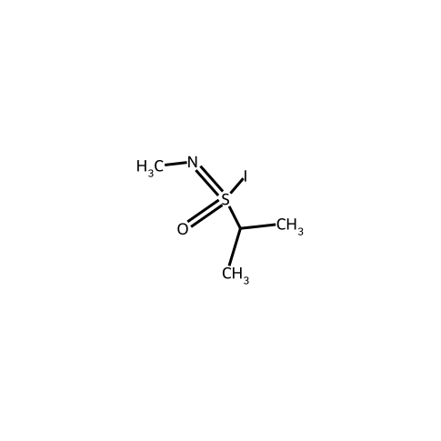 CN=S(=O)(I)C(C)C